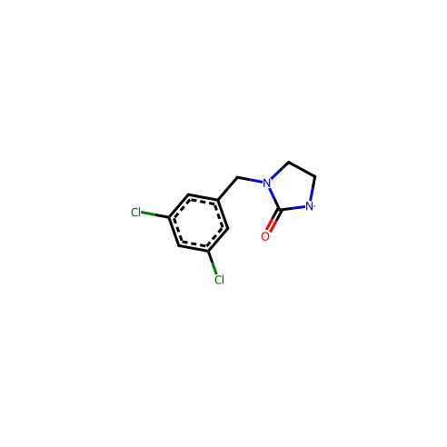 O=C1[N]CCN1Cc1cc(Cl)cc(Cl)c1